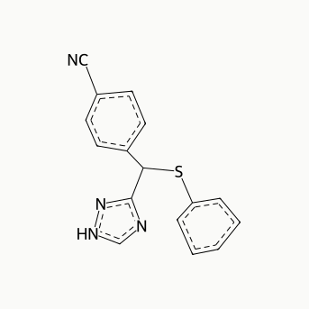 N#Cc1ccc(C(Sc2ccccc2)c2nc[nH]n2)cc1